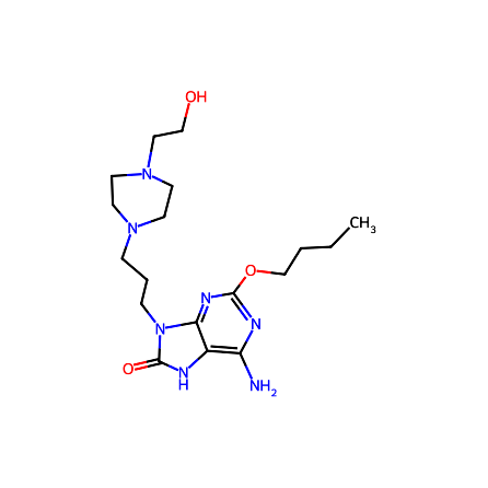 CCCCOc1nc(N)c2[nH]c(=O)n(CCCN3CCN(CCO)CC3)c2n1